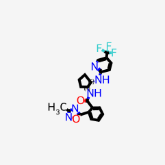 Cc1noc(-c2ccccc2C(=O)N[C@@H]2CCC[C@@H]2Nc2ccc(C(F)(F)F)cn2)n1